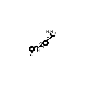 COc1cccc(CNc2nc3ccc(OC/C(=C/F)CN)cc3o2)c1